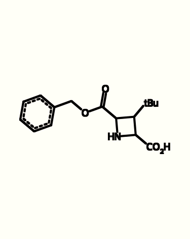 CC(C)(C)C1C(C(=O)O)NC1C(=O)OCc1ccccc1